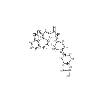 C=C1C2C(=CC(=O)N1c1c(C)cccc1F)NN=C2c1ccc(N2CCN(CC(F)F)CC2)cc1